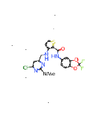 CNc1nc(Cl)cc(CNc2ccsc2C(=O)Nc2ccc3c(c2)OC(F)(F)O3)n1